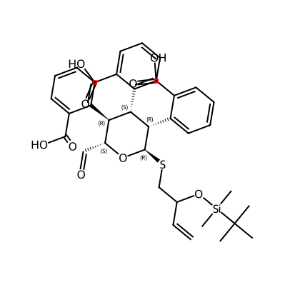 C=CC(CS[C@H]1O[C@H](C=O)[C@@H](c2ccccc2C(=O)O)[C@H](c2ccccc2C(=O)O)[C@@H]1c1ccccc1C(=O)O)O[Si](C)(C)C(C)(C)C